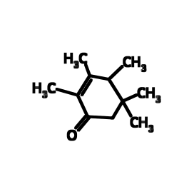 CC1=C(C)C(C)C(C)(C)CC1=O